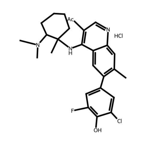 CC(=O)c1cnc2cc(C)c(-c3cc(F)c(O)c(Cl)c3)cc2c1NC1(C)CCCCC1N(C)C.Cl